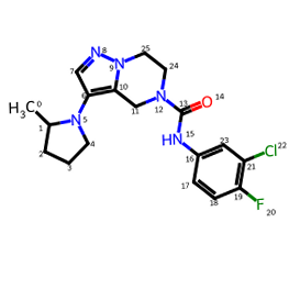 CC1CCCN1c1cnn2c1CN(C(=O)Nc1ccc(F)c(Cl)c1)CC2